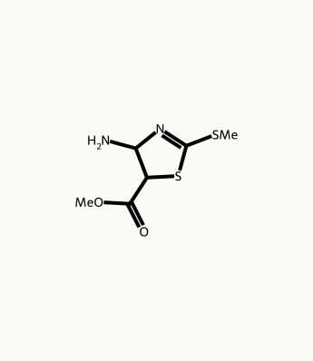 COC(=O)C1SC(SC)=NC1N